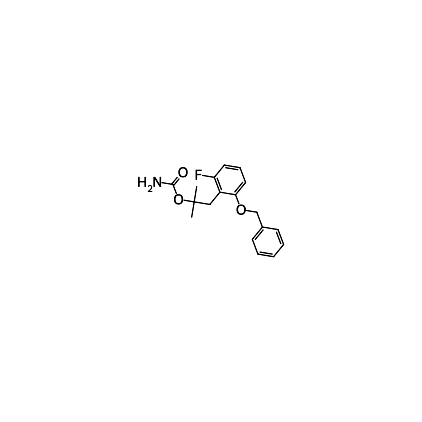 CC(C)(Cc1c(F)cccc1OCc1ccccc1)OC(N)=O